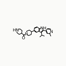 Cc1cc(-c2[nH]c3ccc(C4CCN(C(=O)C5CCNCC5)CC4)cc3c2C(C)C)ccn1